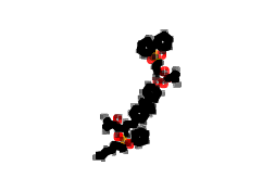 C=CCC/C=C(\C)P(=O)(C[C@H](CCc1ccc(C(C)(CC)c2ccc(OC[C@H](CCP3(=O)Oc4ccccc4-c4ccccc43)OC(=O)C(=C)C)cc2)cc1)CC(=O)C(=C)C)Oc1ccccc1